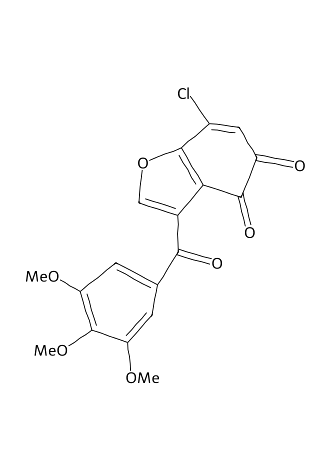 COc1cc(C(=O)c2coc3c2C(=O)C(=O)C=C3Cl)cc(OC)c1OC